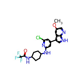 COc1cnc2[nH]cc(-c3cc(Cl)nc(NC4CCC(NC(=O)C(F)(F)F)CC4)c3)c2c1